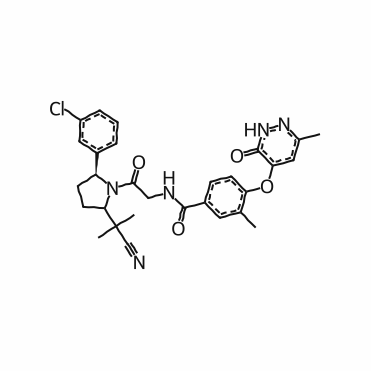 Cc1cc(Oc2ccc(C(=O)NCC(=O)N3C(C(C)(C)C#N)CC[C@H]3c3cccc(Cl)c3)cc2C)c(=O)[nH]n1